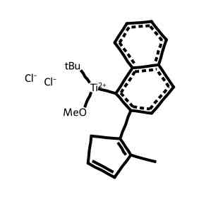 C[O][Ti+2]([c]1c(C2=C(C)C=CC2)ccc2ccccc12)[C](C)(C)C.[Cl-].[Cl-]